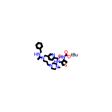 C=C(NCc1ccccc1)N(CCCN1CCN(C)CC1)Cc1ccc(C(=O)Nc2cscc2NC(=O)OC(C)(C)C)nc1